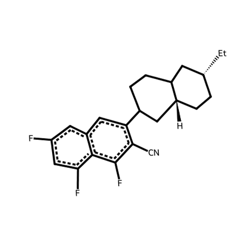 CC[C@@H]1CC[C@@H]2CC(c3cc4cc(F)cc(F)c4c(F)c3C#N)CCC2C1